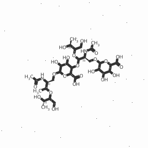 CC(=O)N[C@@H](COC1OC(C(=O)O)C(OC(OC(CO)[C@H](C)O)[C@H](COC2OC(C(=O)O)C(O)C(O)C2O)NC(C)=O)C(O)C1O)C(C)OC(CO)[C@H](C)O